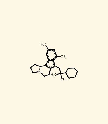 Cc1cc(C)c2c(c1)c1c(n2CC(C)(O)C2CCCCC2)CCN2CCCC12